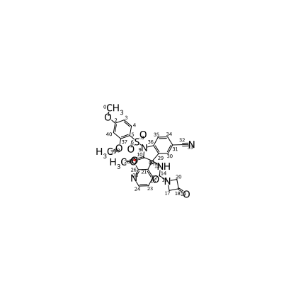 COc1ccc(S(=O)(=O)N2C(=O)[C@@](NC(=O)N3CC(=O)C3)(c3cccnc3OC)c3cc(C#N)ccc32)c(OC)c1